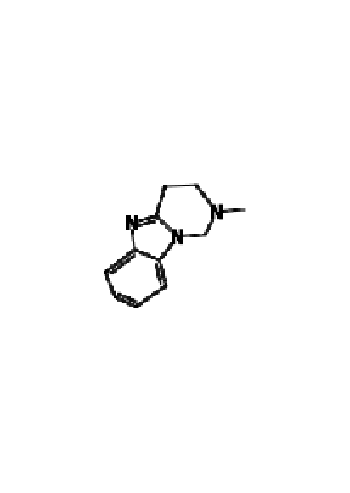 CN1CCc2nc3ccccc3n2C1